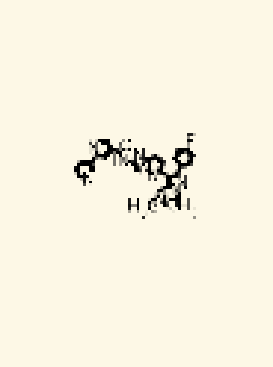 CCn1nc(-c2ccc(F)cc2)c(-c2ccc3nc(NC(=O)c4ccnc(-c5cccnc5)c4)cn3n2)c1CNC